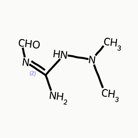 CN(C)N/C(N)=N\C=O